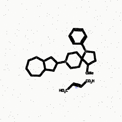 COC1CCN(c2ccccc2)C12CCN(C1CC3CCCCCC3C1)CC2.O=C(O)/C=C/C(=O)O